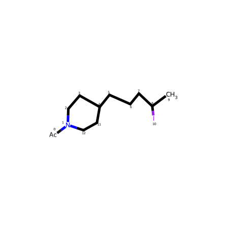 CC(=O)N1CCC(CCCC(C)I)CC1